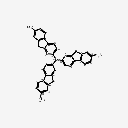 Cc1ccc2c(c1)Cc1nc(N(c3ccc4c(n3)Cc3cc(C)ccc3-4)c3ccc4c(n3)Cc3cc(C)ccc3-4)ccc1-2